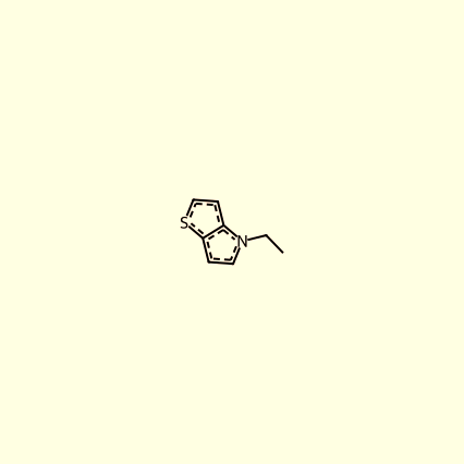 CCn1ccc2sccc21